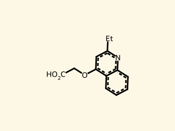 CCc1cc(OCC(=O)O)c2ccccc2n1